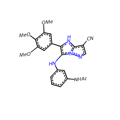 COc1cc(-c2[nH]c3c(C#N)cnn3c2Nc2cccc(NC(C)=O)c2)cc(OC)c1OC